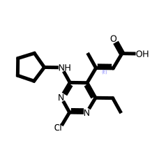 CCc1nc(Cl)nc(NC2CCCC2)c1/C(C)=C/C(=O)O